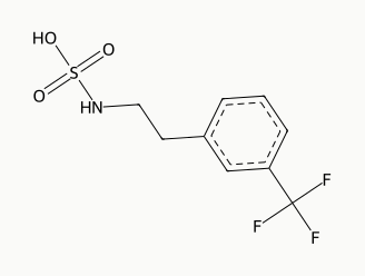 O=S(=O)(O)NCCc1cccc(C(F)(F)F)c1